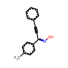 ON=C(C#Cc1ccccc1)c1ccc(C(F)(F)F)cc1